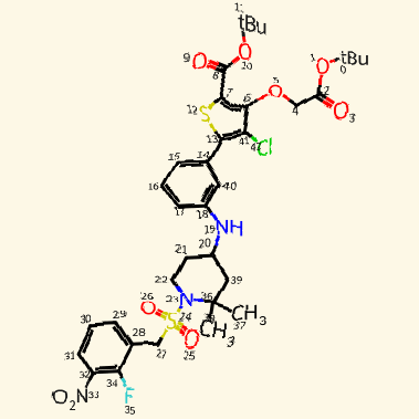 CC(C)(C)OC(=O)COc1c(C(=O)OC(C)(C)C)sc(-c2cccc(NC3CCN(S(=O)(=O)Cc4cccc([N+](=O)[O-])c4F)C(C)(C)C3)c2)c1Cl